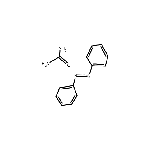 NC(N)=O.c1ccc(N=Nc2ccccc2)cc1